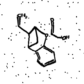 C=CC1C2CC1c1ccccc1O2.O=CO